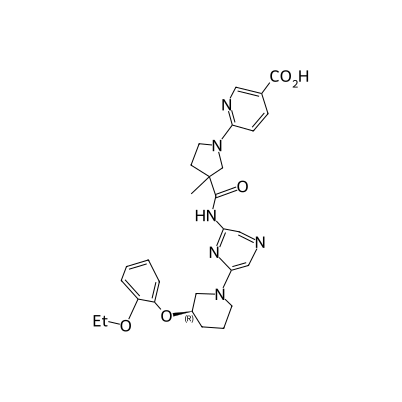 CCOc1ccccc1O[C@@H]1CCCN(c2cncc(NC(=O)C3(C)CCN(c4ccc(C(=O)O)cn4)C3)n2)C1